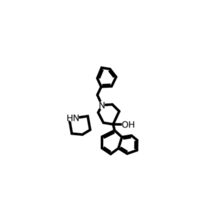 C1CCNCC1.OC1(c2cccc3ccccc23)CCN(Cc2ccccc2)CC1